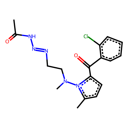 CC(=O)NN=NCCN(C)n1c(C)ccc1C(=O)c1ccccc1Cl